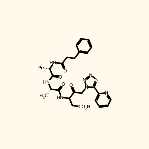 CC(C)[C@H](NC(=O)CCc1ccccc1)C(=O)N[C@@H](C)C(=O)NC(CC(=O)O)C(=O)Cn1nnnc1-c1ccccn1